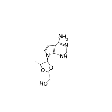 C[C@H]1O[C@@H](CO)O[C@@H]1n1ccc2c1NCN=C2N